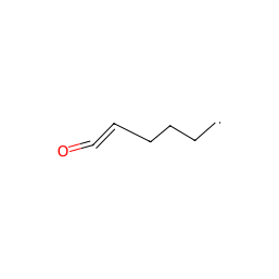 [CH2]CCCC=C=O